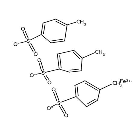 Cc1ccc(S(=O)(=O)[O-])cc1.Cc1ccc(S(=O)(=O)[O-])cc1.Cc1ccc(S(=O)(=O)[O-])cc1.[Fe+3]